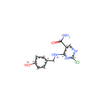 NC(=O)c1cnc(Cl)nc1NCc1ccc(O)cc1